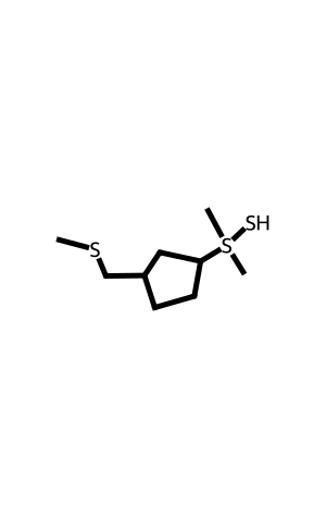 CSCC1CCC(S(C)(C)S)C1